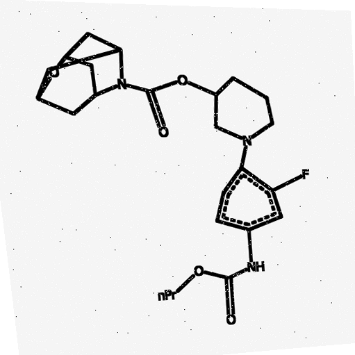 CCCOC(=O)Nc1ccc(N2CCCC(OC(=O)N3C4CC5CC3CC(C4)O5)C2)c(F)c1